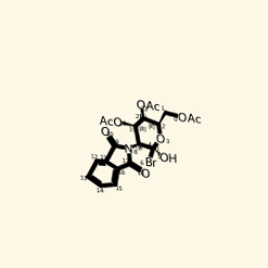 CC(=O)OC[C@H]1O[C@@](O)(Br)[C@@H](N2C(=O)c3ccccc3C2=O)[C@@H](OC(C)=O)[C@H]1OC(C)=O